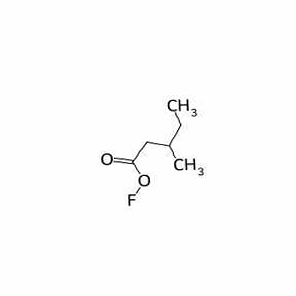 CCC(C)CC(=O)OF